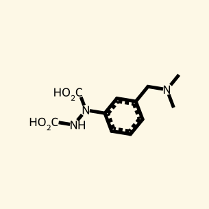 CN(C)Cc1cccc(N(NC(=O)O)C(=O)O)c1